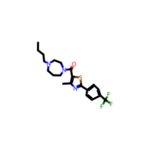 CCCCN1CCCN(C(=O)c2sc(-c3ccc(C(F)(F)F)cc3)nc2C)CC1